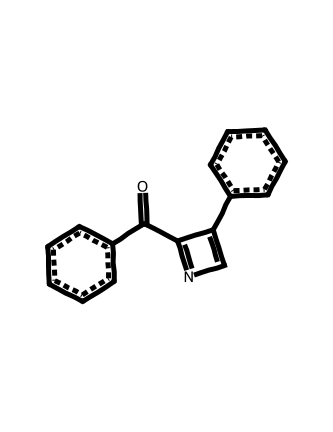 O=C(C1=NC=C1c1ccccc1)c1ccccc1